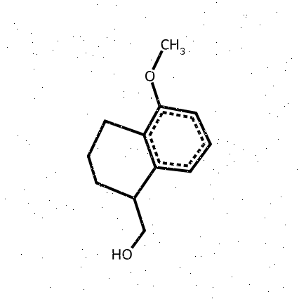 COc1cccc2c1CCCC2CO